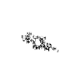 Nc1nc2c(ncn2[C@@H]2S[C@@H]3COP(O)(=S)O[C@H]4[C@H](F)[C@H](n5nnc6c(N)ccnc65)O[C@@H]4COP(O)(=S)O[C@@H]2C3)c(=O)[nH]1